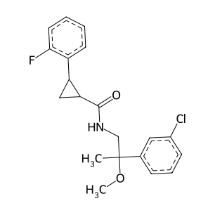 COC(C)(CNC(=O)C1CC1c1ccccc1F)c1cccc(Cl)c1